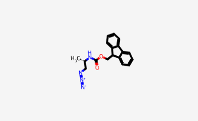 C[C@@H](CN=[N+]=[N-])NC(=O)OCC1c2ccccc2-c2ccccc21